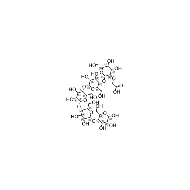 O=C(O)CO[C@H]1[C@@H](O[C@H]2[C@H](O)[C@@H](O)[C@@H](O[C@H]3[C@H](O)[C@@H](O)[C@@H](O[C@H]4[C@H](O)[C@@H](O)[C@@H](O[C@H]5[C@H](O)[C@@H](O)[C@@H](O)O[C@@H]5CO)O[C@@H]4CO)O[C@@H]3CO)O[C@@H]2CO)O[C@H](CO)[C@@H](O)[C@@H]1O